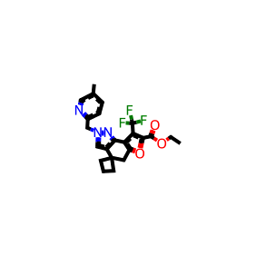 CCOC(=O)c1oc2c(c1C(F)(F)F)-c1nn(Cc3ccc(C)cn3)cc1C1(CCC1)C2